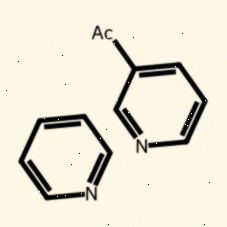 CC(=O)c1cccnc1.c1ccncc1